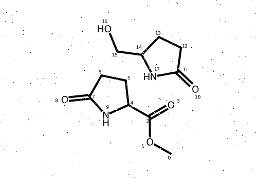 COC(=O)C1CCC(=O)N1.O=C1CCC(CO)N1